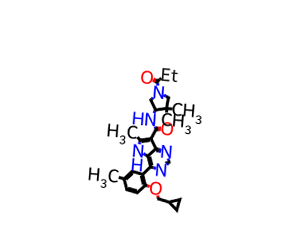 CCC(=O)N1CC(NC(=O)c2c(C)[nH]c3c(-c4cc(C)ccc4OCC4CC4)ncnc23)C(C)(C)C1